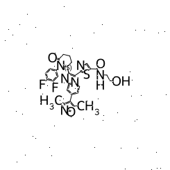 Cc1noc(C)c1-c1ccn2c(-c3ncc(C(=O)NCCO)s3)c([C@@H]3CCCC(=O)N3c3ccc(F)c(F)c3)nc2c1